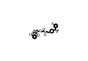 CN(C)C(c1cccc(F)c1)C1CCC(CCNC(=O)COCCN(C)S(=O)(=O)c2c(Cl)cccc2Cl)CC1